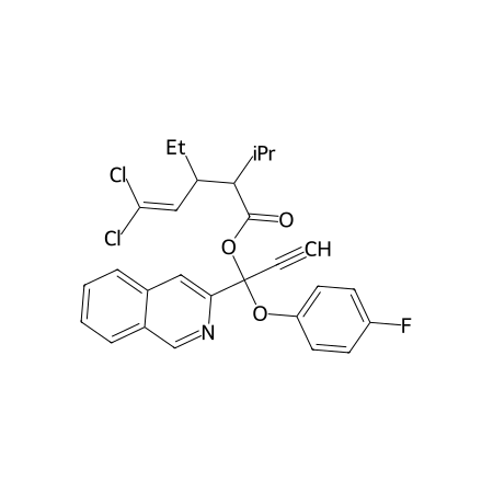 C#CC(OC(=O)C(C(C)C)C(C=C(Cl)Cl)CC)(Oc1ccc(F)cc1)c1cc2ccccc2cn1